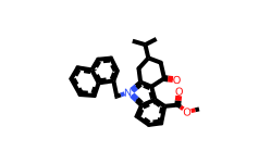 COC(=O)c1cccc2c1c1c(n2Cc2cccc3ccccc23)CC(C(C)C)CC1=O